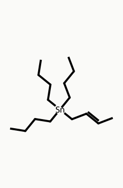 CC=C[CH2][Sn]([CH2]CCC)([CH2]CCC)[CH2]CCC